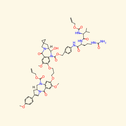 C=CCOC(=O)N[C@H](C(=O)N[C@@H](CCCNC(N)=O)C(=O)Nc1ccc(COC(=O)N2c3cc(OCCCOc4cc5c(cc4OC)C(=O)N4C=C(c6ccc(OC)cc6)C[C@H]4CN5C(=O)OCC=C)c(OC)cc3C(=O)N3CC4(CC4)C[C@H]3C2O)cc1)C(C)C